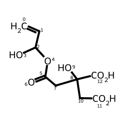 C=CC(O)OC(=O)CC(O)(CC(=O)O)C(=O)O